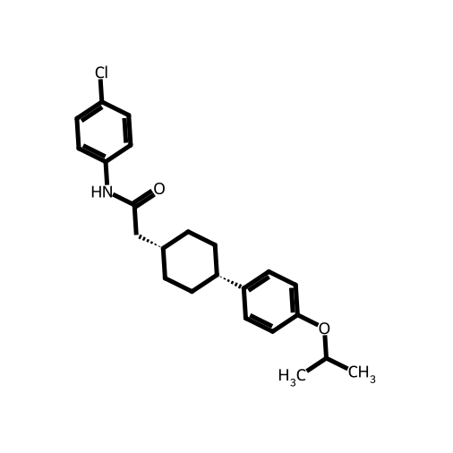 CC(C)Oc1ccc([C@H]2CC[C@@H](CC(=O)Nc3ccc(Cl)cc3)CC2)cc1